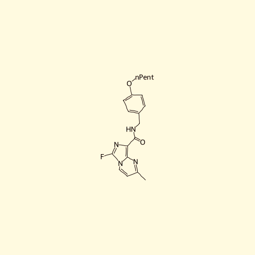 CCCCCOc1ccc(CNC(=O)c2nc(F)n3ccc(C)nc23)cc1